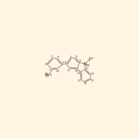 Brc1cccc(-c2ccc3c(c2)c2ccccc2n3I)c1